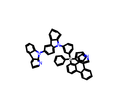 c1ccc([Si](c2ccccc2)(c2cccc(-n3c4ccccc4c4cc(-n5c6ccccc6c6cccnc65)ccc43)c2)c2cccc3c4ccccc4c4cnccc4c23)cc1